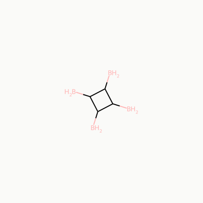 BC1C(B)C(B)C1B